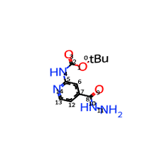 CC(C)(C)OC(=O)Nc1cc(C(=O)NN)ccn1